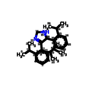 CC(C)c1cccc(C(C)C)c1C1=N[C]NC1c1c(C(C)C)cccc1C(C)C